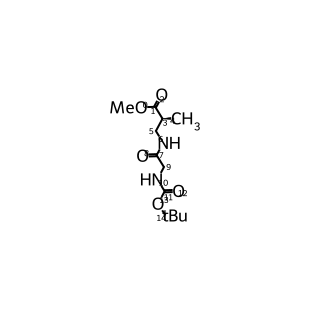 COC(=O)[C@@H](C)CNC(=O)CNC(=O)OC(C)(C)C